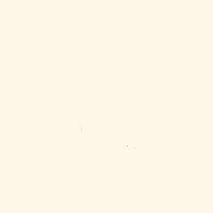 COC[S+](C)c1ccccc1